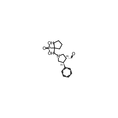 O=C[C@H]1CN(CC2(P(=O)(O)O)CCCC2)C[C@@H]1c1ccccc1